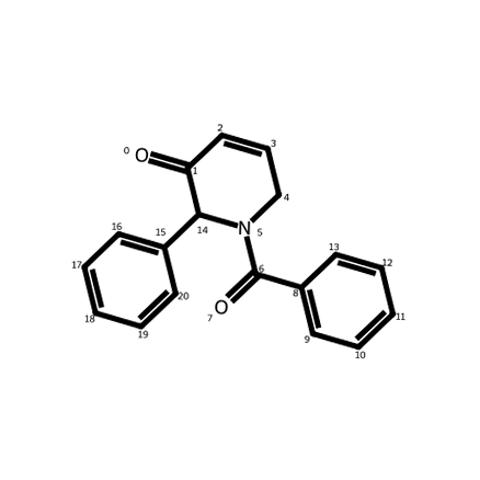 O=C1C=CCN(C(=O)c2ccccc2)C1c1ccccc1